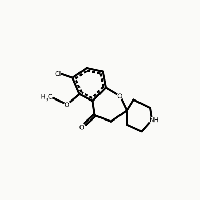 COc1c(Cl)ccc2c1C(=O)CC1(CCNCC1)O2